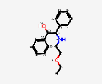 CCOCCNC(c1ccccc1)C(O)c1ccccc1